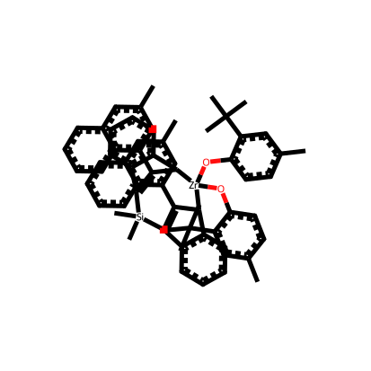 Cc1ccc([O][Zr]2([O]c3ccc(C)cc3C(C)(C)C)[CH]3C(c4cc(C)cc5ccccc45)=C(c4ccccc43)[Si](C)(C)C3=C(c4cc(C)cc5ccccc45)[CH]2c2ccccc23)c(C(C)(C)C)c1